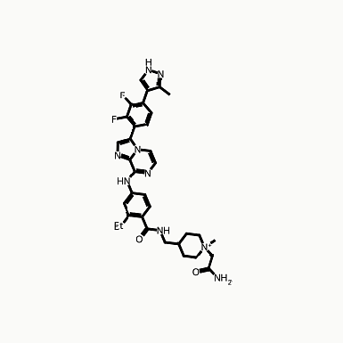 CCc1cc(Nc2nccn3c(-c4ccc(-c5c[nH]nc5C)c(F)c4F)cnc23)ccc1C(=O)NCC1CC[N+](C)(CC(N)=O)CC1